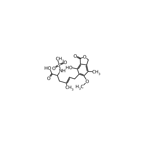 COc1c(C)c2c(c(O)c1C/C=C(\C)CC(NS(C)(=O)=O)C(=O)O)C(=O)OC2